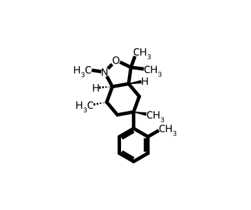 Cc1ccccc1[C@@]1(C)C[C@@H]2[C@@H]([C@@H](C)C1)N(C)OC2(C)C